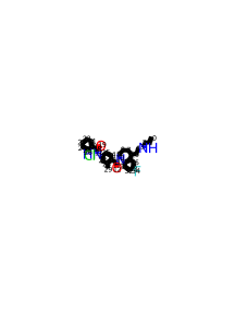 C=CCNCCC1CCCN(C(=O)c2ccc(NC(=O)c3ccccc3Cl)cc2C)c2ccc(F)cc21